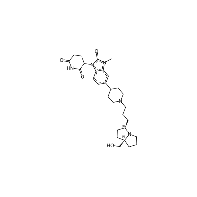 Cn1c(=O)n(C2CCC(=O)NC2=O)c2ccc(C3CCN(CCC[C@@H]4CC[C@@]5(CO)CCCN45)CC3)cc21